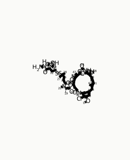 COc1cc2cc(c1Cl)N(C)C(=O)CC(OC(=O)[C@H](C)N(C)C(=O)CCC(C)(C)SSCCC(C(=O)NN)S(=O)(=O)O)[C@@]1(C)O[C@@H]1C(C)C1CC(O)(NC(=O)O1)C(OC)/C=C/C=C(\C)C2